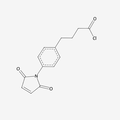 O=C(Cl)CCCc1ccc(N2C(=O)C=CC2=O)cc1